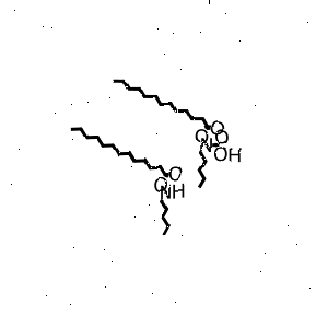 CCCCCCCCCCCCC(=O)ON(CCCCC)C(=O)O.CCCCCCCCCCCCC(=O)ONCCCCC